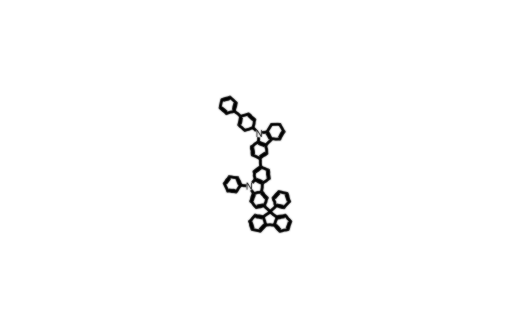 C1=Cc2c(n(C3C=CC(c4ccccc4)=CC3)c3ccc(-c4ccc5c6cc(C7(c8ccccc8)c8ccccc8-c8ccccc87)ccc6n(-c6ccccc6)c5c4)cc23)CC1